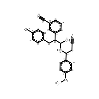 COc1ccc(C(CC#N)NC(C)C(Cc2ccc(Cl)cc2)c2cccc(C#N)c2)cc1